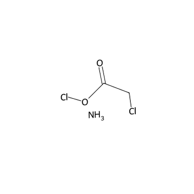 N.O=C(CCl)OCl